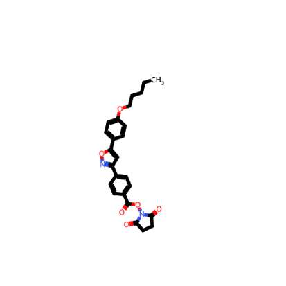 CCCCCOc1ccc(-c2cc(-c3ccc(C(=O)ON4C(=O)CCC4=O)cc3)no2)cc1